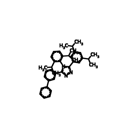 CC(C)c1cc(-c2nnc(-c3cccc(-c4ccccc4)c3)n2-c2c(C(C)C)cccc2C(C)C)cc(C(C)C)c1